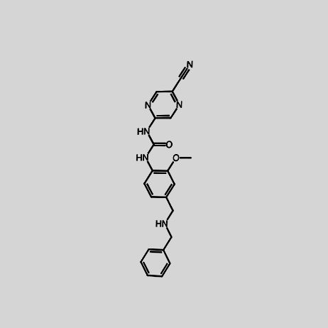 COc1cc(CNCc2ccccc2)ccc1NC(=O)Nc1cnc(C#N)cn1